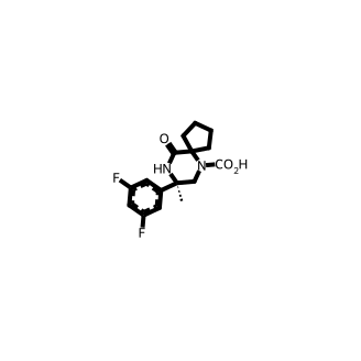 C[C@@]1(c2cc(F)cc(F)c2)CN(C(=O)O)C2(CCCC2)C(=O)N1